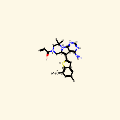 C=CC(=O)N1Cc2c(-c3cc4cc(C)cc(OC)c4s3)c3c(N)ncnc3n2C(C)(C)C1